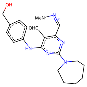 CN/N=C\c1nc(N2CCCCCC2)nc(Nc2ccc(CO)cc2)c1C=O